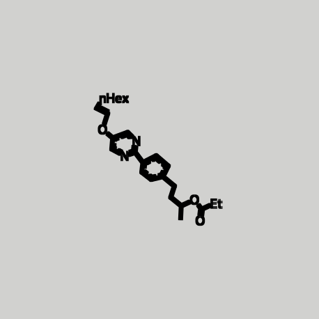 CCCCCCC=COc1cnc(-c2ccc(CCC(C)OC(=O)CC)cc2)nc1